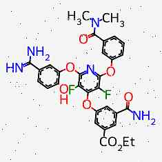 CCOC(=O)c1cc(Oc2c(F)c(Oc3cccc(C(=O)N(C)C)c3)nc(Oc3cc(C(=N)N)ccc3O)c2F)cc(C(N)=O)c1